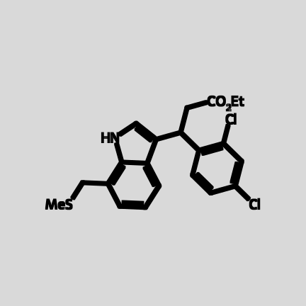 CCOC(=O)CC(c1ccc(Cl)cc1Cl)c1c[nH]c2c(CSC)cccc12